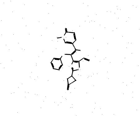 C=Cc1[nH]c(C2CC(=O)C2)nc1/C(Oc1ccccc1)=C(\C)c1ccc(=O)n(C)c1